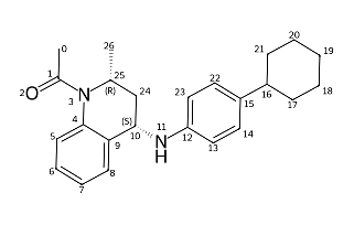 CC(=O)N1c2ccccc2[C@@H](Nc2ccc(C3CCCCC3)cc2)C[C@H]1C